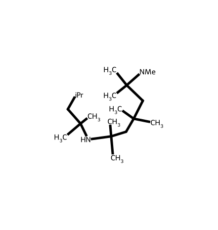 CNC(C)(C)CC(C)(C)CC(C)(C)NC(C)(C)CC(C)C